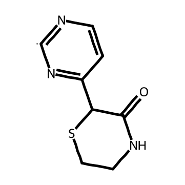 O=C1NCCSC1c1ccn[c]n1